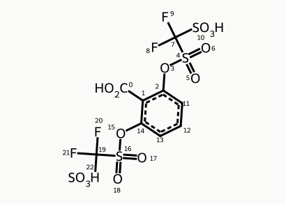 O=C(O)c1c(OS(=O)(=O)C(F)(F)S(=O)(=O)O)cccc1OS(=O)(=O)C(F)(F)S(=O)(=O)O